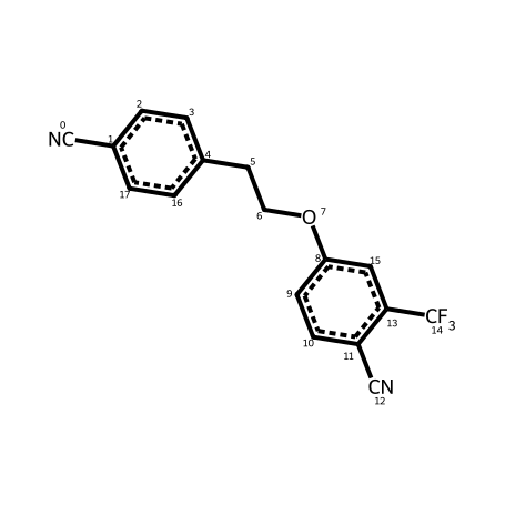 N#Cc1ccc(CCOc2ccc(C#N)c(C(F)(F)F)c2)cc1